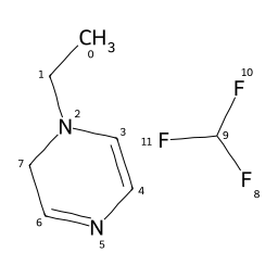 CCN1C=CN=CC1.FC(F)F